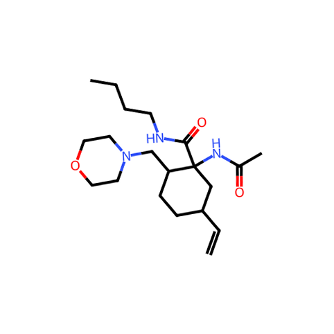 C=CC1CCC(CN2CCOCC2)C(NC(C)=O)(C(=O)NCCCC)C1